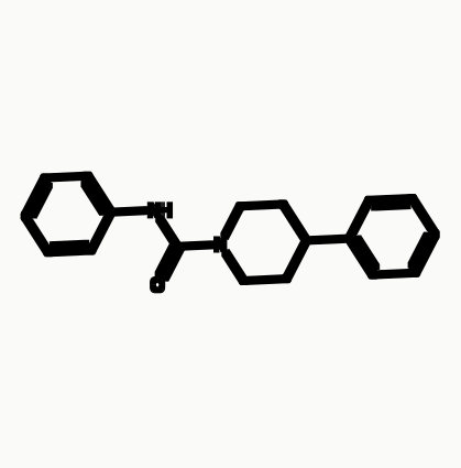 O=C(Nc1ccccc1)N1CCC(c2ccccc2)CC1